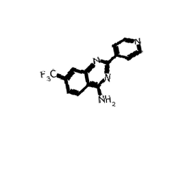 Nc1nc(-c2ccncc2)nc2cc(C(F)(F)F)ccc12